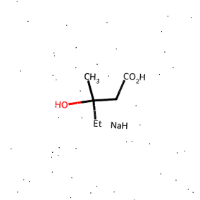 [CH2]CC(C)(O)CC(=O)O.[NaH]